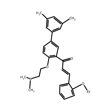 CCOc1ccccc1C=CC(=O)c1cc(-c2cc(C)cc(C)c2)ccc1OCCN(C)C